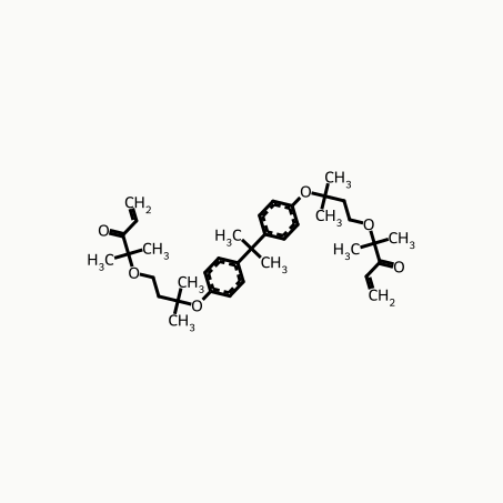 C=CC(=O)C(C)(C)OCCC(C)(C)Oc1ccc(C(C)(C)c2ccc(OC(C)(C)CCOC(C)(C)C(=O)C=C)cc2)cc1